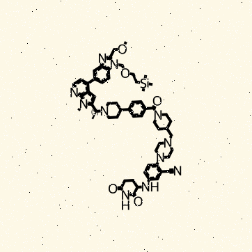 COCc1nc2cc(-c3ccnc4c3cc([C@H](C)N3CCC(c5ccc(C(=O)N6CCC(CN7CCN(c8ccc(NC9CCC(=O)NC9=O)cc8C#N)CC7)CC6)cc5)CC3)n4C)ccc2n1COCC[Si](C)(C)C